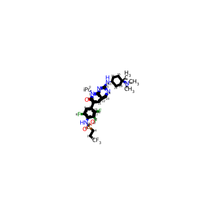 CC(C)n1c(=O)c(-c2cc(F)c(NS(=O)(=O)CCC(F)(F)F)c(F)c2F)cc2cnc(N[C@H]3CC[C@@](C)(N(C)C)CC3)nc21